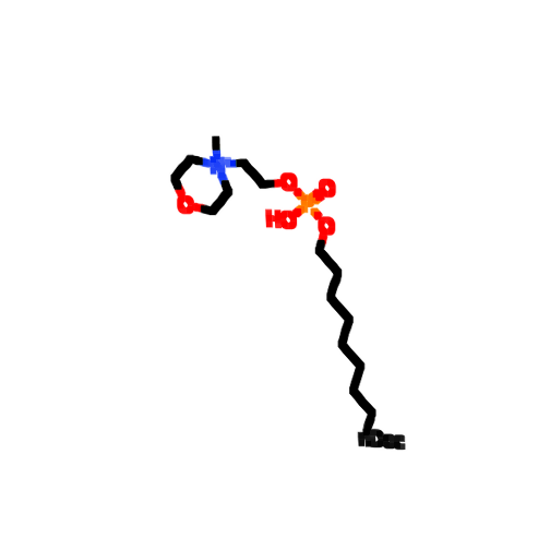 CCCCCCCCCCCCCCCCCCOP(=O)(O)OCC[N+]1(C)CCOCC1